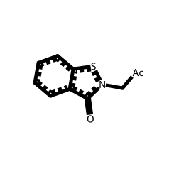 CC(=O)Cn1sc2ccccc2c1=O